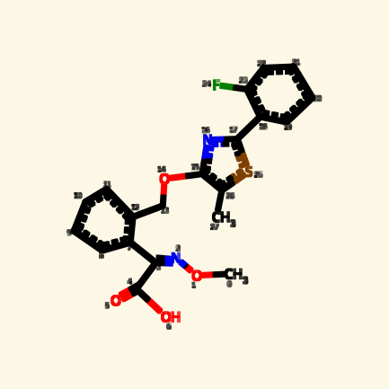 CON=C(C(=O)O)c1ccccc1COc1nc(-c2ccccc2F)sc1C